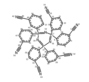 N#Cc1cccc(P2(c3cccc(C#N)c3)=NP(c3cccc(C#N)c3)(c3cccc(C#N)c3)=NP(c3cccc(C#N)c3)(c3cccc(C#N)c3)=N2)c1